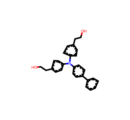 OCCc1ccc(N(c2ccc(CCO)cc2)c2ccc(-c3ccccc3)cc2)cc1